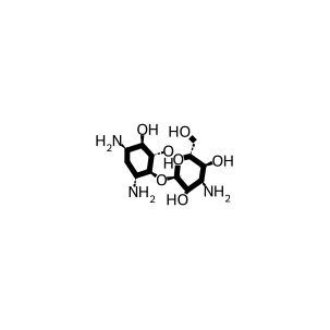 N[C@@H]1[C@@H](O)[C@@H](O[C@@H]2[C@@H](O)[C@H](O)[C@@H](N)C[C@H]2N)O[C@H](CO)[C@H]1O